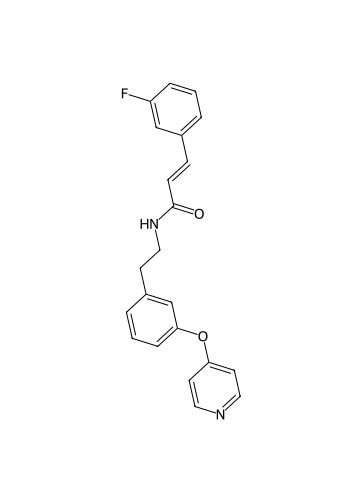 O=C(C=Cc1cccc(F)c1)NCCc1cccc(Oc2ccncc2)c1